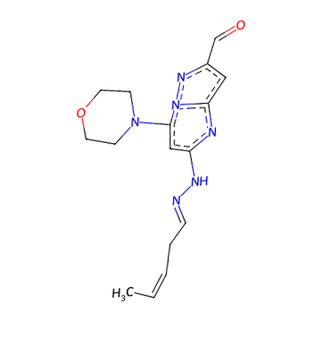 C/C=C\C/C=N/Nc1cc(N2CCOCC2)n2nc(C=O)cc2n1